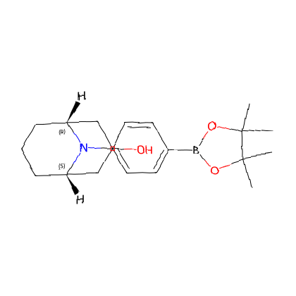 CC1(C)OB(c2ccc(N3[C@@H]4CCC[C@H]3CC(O)C4)cc2)OC1(C)C